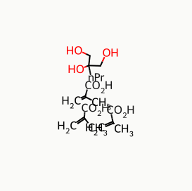 C=C(C)C(=O)O.C=C(C)C(=O)O.C=C(C)C(=O)O.CCCC(O)(CO)CO